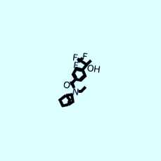 CCN(C(=O)c1ccc(C(C)(O)C(F)(F)F)cc1)C1CC2CCC1C2